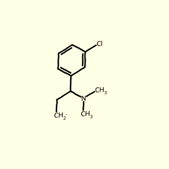 [CH2]CC(c1cccc(Cl)c1)N(C)C